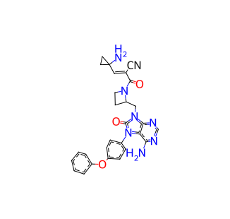 N#CC(=CC1(N)CC1)C(=O)N1CCC1Cn1c(=O)n(-c2ccc(Oc3ccccc3)cc2)c2c(N)ncnc21